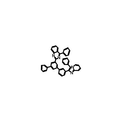 c1ccc(-c2cc(-c3cccc(-c4nc5ccccn5c4-c4ccccc4)c3)cc(-c3nc(-c4ccccc4)c4ccccc4n3)c2)cc1